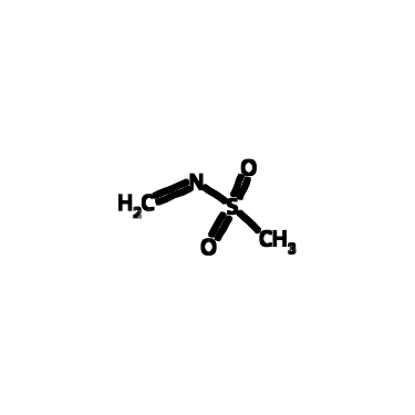 C=NS(C)(=O)=O